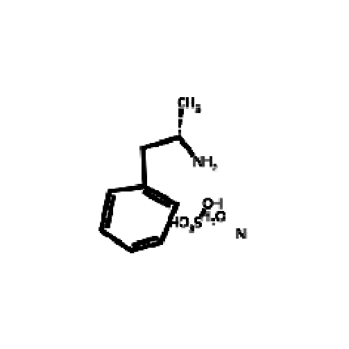 C[C@H](N)Cc1ccccc1.O.O=S(=O)(O)O.[Ni]